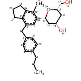 CCCc1ccc(Cc2cc([C@H]3C[C@@H](O)C[C@@H](CO)O3)c(C)c3c2CCC3)cc1